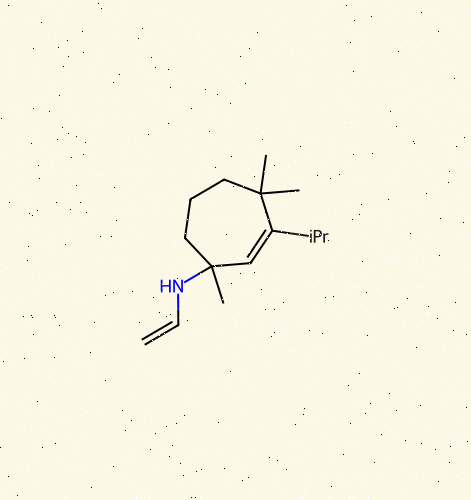 C=CNC1(C)C=C(C(C)C)C(C)(C)CCC1